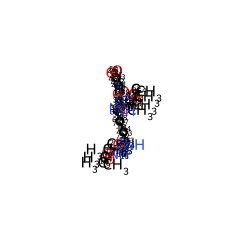 CC(C)[C@H](NC(=O)OC(C)(C)C)C(=O)N1CCC[C@H]1c1nc(-c2ccc(-c3ccc(-c4cnc([C@@H]5C[C@@H](OC(=O)N6Cc7cc8c(cc7C6)OCO8)CN5C(=O)[C@@H](NC(=O)OC(C)(C)C)C(C)C)[nH]4)cc3)cc2)c[nH]1